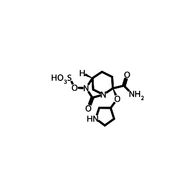 NC(=O)[C@@]1(OC2CCNC2)CC[C@@H]2CN1C(=O)N2OS(=O)(=O)O